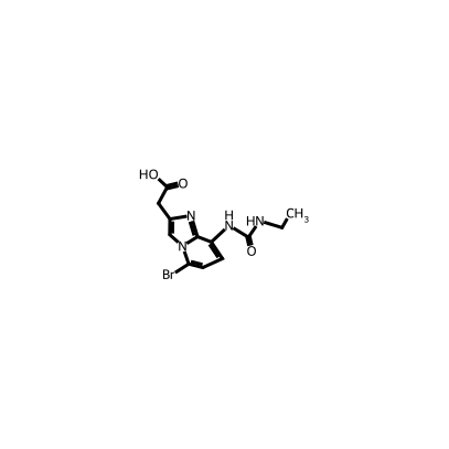 CCNC(=O)Nc1ccc(Br)n2cc(CC(=O)O)nc12